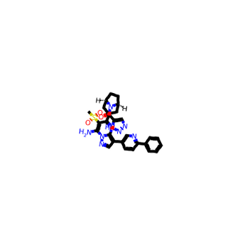 CS(=O)(=O)c1c(C2C[C@H]3CC[C@@H](C2)N3C(=O)c2cnn[nH]2)nc2c(-c3ccc(-c4ccccc4)nc3)cnn2c1N